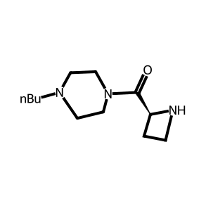 CCCCN1CCN(C(=O)[C@@H]2CCN2)CC1